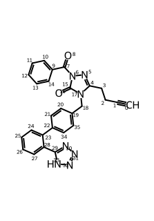 C#CCCc1nn(C(=O)c2ccccc2)c(=O)n1Cc1ccc(-c2ccccc2-c2nnn[nH]2)cc1